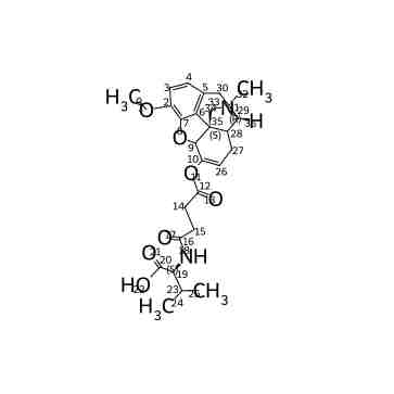 COc1ccc2c3c1OC1C(OC(=O)CCC(=O)N[C@H](C(=O)O)C(C)C)=CCC4[C@@H](C2)N(C)CC[C@]314